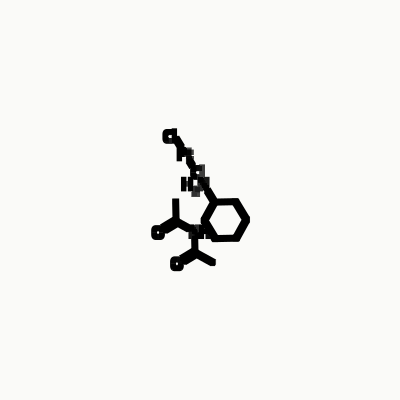 CC(=O)NC(C)=O.NC1CCCCC1.[Cl][Pt][Cl]